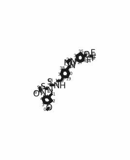 COc1ccc(N2C(=O)CS/C2=N\C(=S)NCCc2ccc(-c3ncn(-c4ccc(OC(F)(F)F)cc4)n3)cc2)c(C)c1